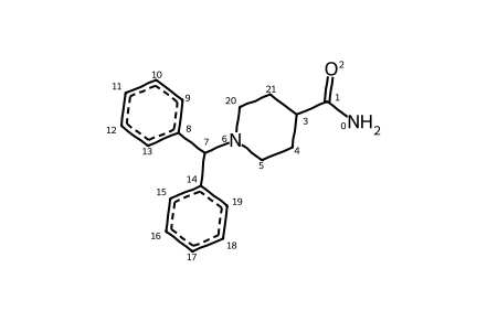 NC(=O)C1CCN(C(c2ccccc2)c2ccccc2)CC1